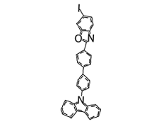 Ic1ccc2nc(-c3ccc(-c4ccc(-n5c6ccccc6c6ccccc65)cc4)cc3)oc2c1